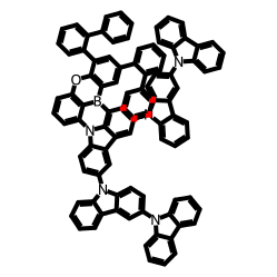 c1ccc(-c2ccccc2-c2cc3c(c(-c4ccccc4-c4ccccc4)c2)Oc2cccc4c2B3c2cc(-n3c5ccccc5c5cc(-n6c7ccccc7c7ccccc76)ccc53)cc3c5cc(-n6c7ccccc7c7cc(-n8c9ccccc9c9ccccc98)ccc76)ccc5n-4c23)cc1